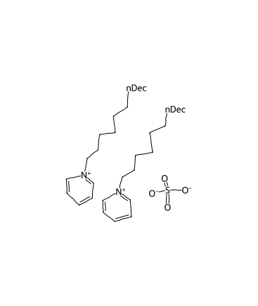 CCCCCCCCCCCCCCCC[n+]1ccccc1.CCCCCCCCCCCCCCCC[n+]1ccccc1.O=S(=O)([O-])[O-]